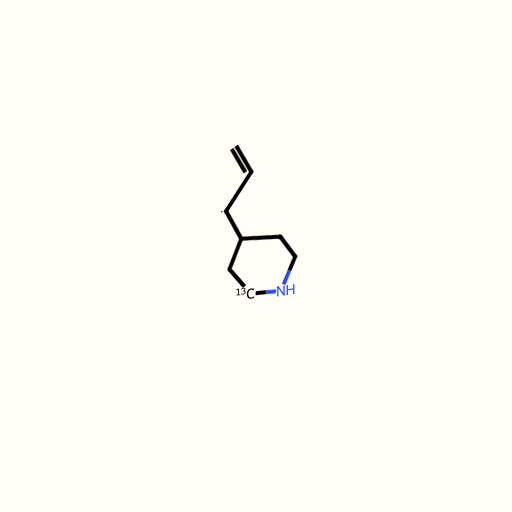 C=C[CH]C1CCN[13CH2]C1